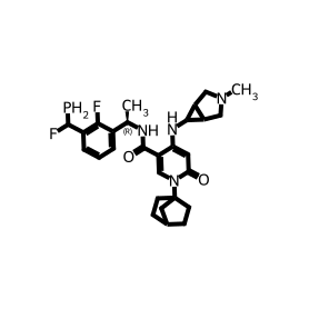 C[C@@H](NC(=O)c1cn(C23CCC(CC2)C3)c(=O)cc1NC1C2CN(C)CC21)c1cccc(C(F)P)c1F